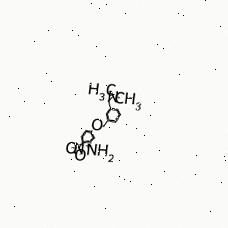 CN(C)Cc1cccc(COc2ccc([N+](=O)[O-])c(N)c2)c1